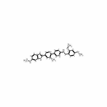 COc1ccc(CNc2ccc(-c3ncc(-c4nc5ccc(OC)cc5s4)cc3C)cn2)c(OC)c1